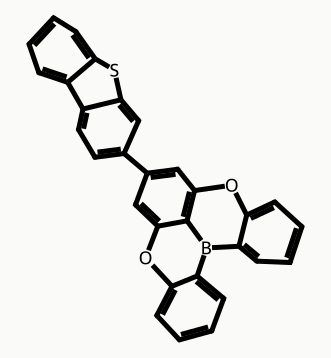 c1ccc2c(c1)Oc1cc(-c3ccc4c(c3)sc3ccccc34)cc3c1B2c1ccccc1O3